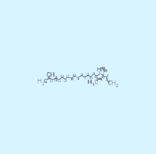 CC=CC(C=CC)(CCCCCCCCCCCCCCCCC(C)C)P=N